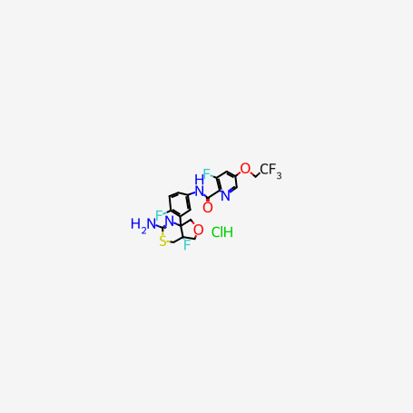 Cl.NC1=NC2(c3cc(NC(=O)c4ncc(OCC(F)(F)F)cc4F)ccc3F)COCC2(F)CS1